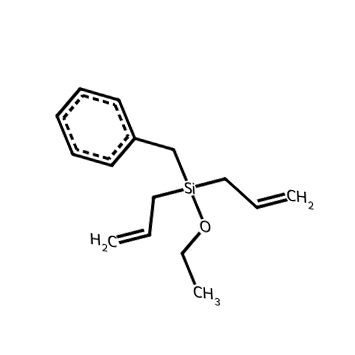 C=CC[Si](CC=C)(Cc1ccccc1)OCC